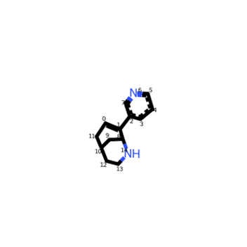 C1=C(c2cccnc2)C2CC(C1)CCN2